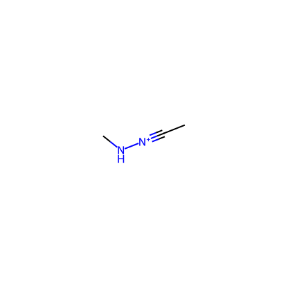 CC#[N+]NC